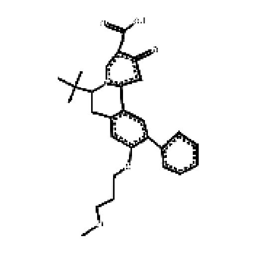 COCCCOc1cc2c(cc1-c1ccccc1)-c1cc(=O)c(C(=O)O)cn1C(C(C)(C)C)C2